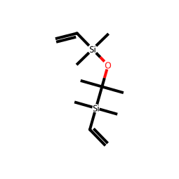 C=C[Si](C)(C)OC(C)(C)[Si](C)(C)C=C